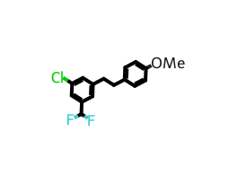 COc1ccc(CCc2cc(Cl)cc(C(F)F)c2)cc1